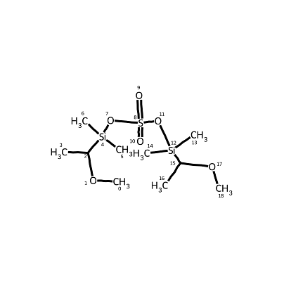 COC(C)[Si](C)(C)OS(=O)(=O)O[Si](C)(C)C(C)OC